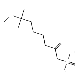 COC(C)(C)CCCCC(=O)CP(=O)(O)O